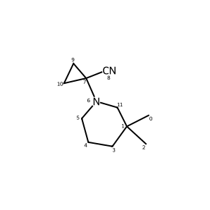 CC1(C)CCCN(C2(C#N)CC2)C1